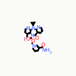 Cc1ccnc2c1N(C(=O)OC[n+]1cccc(C(N)=O)c1)C(=O)c1cccnc1N2C1CC1.[I-]